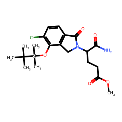 COC(=O)CCC(C(N)=O)N1Cc2c(ccc(Cl)c2O[Si](C)(C)C(C)(C)C)C1=O